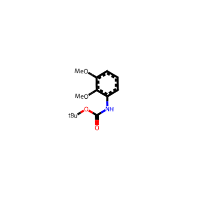 COc1[c]ccc(NC(=O)OC(C)(C)C)c1OC